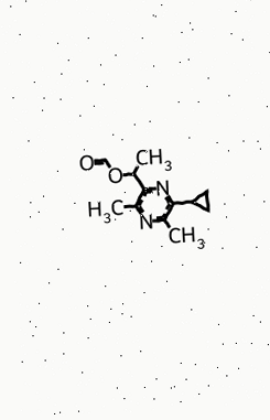 Cc1nc(C)c(C(C)OC=O)nc1C1CC1